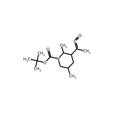 CC(=S=O)C1CC(C)CN(C(=O)OC(C)(C)C)C1C